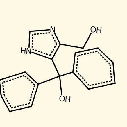 OCc1nc[nH]c1C(O)(c1ccccc1)c1ccccc1